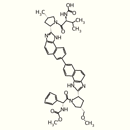 COC[C@H]1C[C@@H](c2nc3ccc4cc(-c5ccc6c(ccc7nc([C@@H]8C[C@H](C)CN8C(=O)[C@@H](NC(=O)O)C(C)C)[nH]c76)c5)ccc4c3[nH]2)N(C(=O)[C@H](NC(=O)OC)c2ccccc2)C1